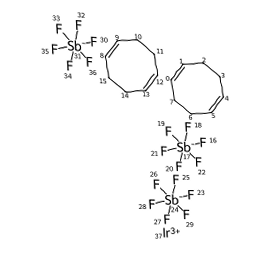 C1=CCCC=CCC1.C1=CCCC=CCC1.[F][Sb-]([F])([F])([F])([F])[F].[F][Sb-]([F])([F])([F])([F])[F].[F][Sb-]([F])([F])([F])([F])[F].[Ir+3]